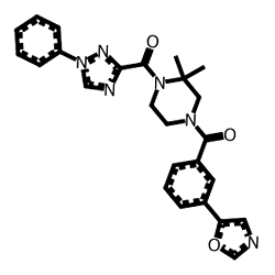 CC1(C)CN(C(=O)c2cccc(-c3cnco3)c2)CCN1C(=O)c1ncn(-c2ccccc2)n1